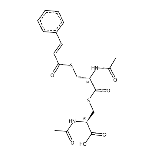 CC(=O)N[C@@H](CSC(=O)[C@H](CSC(=O)C=Cc1ccccc1)NC(C)=O)C(=O)O